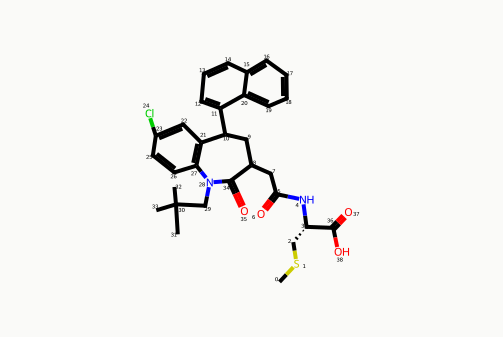 CSC[C@H](NC(=O)CC1CC(c2cccc3ccccc23)c2cc(Cl)ccc2N(CC(C)(C)C)C1=O)C(=O)O